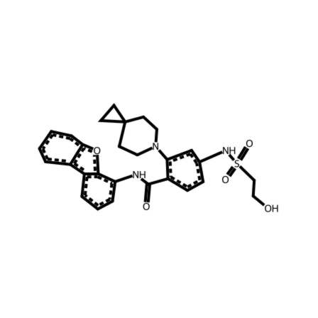 O=C(Nc1cccc2c1oc1ccccc12)c1ccc(NS(=O)(=O)CCO)cc1N1CCC2(CC1)CC2